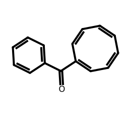 O=C(C1=CC=CC=CC=C1)c1ccccc1